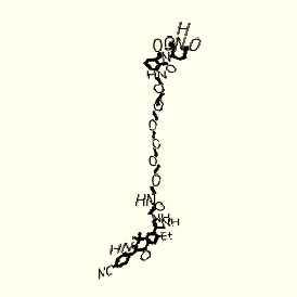 CCc1cc2c(cc1/C(C=N)=C/NCC(=O)NCCOCCOCCOCCOCCOCCOCCNc1cccc3c1C(=O)N(C1CCC(=O)NC1=O)C3=O)C(C)(C)c1[nH]c3cc(C#N)ccc3c1C2=O